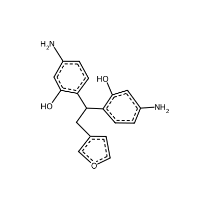 Nc1ccc(C(Cc2ccoc2)c2ccc(N)cc2O)c(O)c1